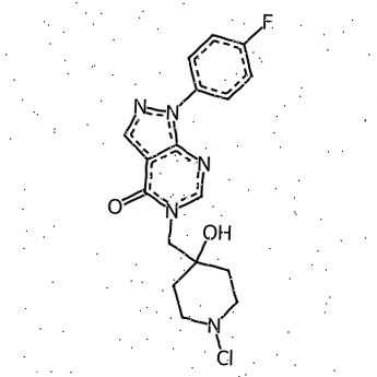 O=c1c2cnn(-c3ccc(F)cc3)c2ncn1CC1(O)CCN(Cl)CC1